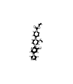 CCOC(=O)N1CCC(N2CCN(c3ncc(-n4ccnc4)cc3Cl)C[C@@H]2CC)CC1